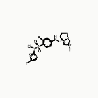 O=S(=O)(c1ccc(NC[C@]23CCCN2C[C@@H](F)C3)cc1F)N(Cl)c1ncc(F)s1